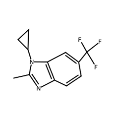 Cc1nc2ccc(C(F)(F)F)cc2n1C1CC1